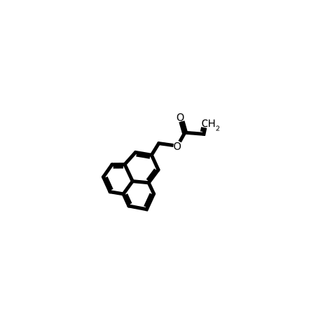 C=CC(=O)OCC1=CC2=CC=CC3=CC=CC(=C1)C32